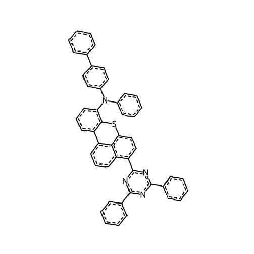 c1ccc(-c2ccc(N(c3ccccc3)c3cccc4c3Sc3ccc(-c5nc(-c6ccccc6)nc(-c6ccccc6)n5)c5cccc-4c35)cc2)cc1